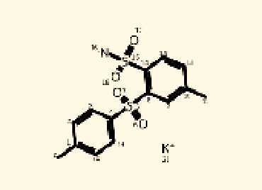 Cc1ccc(S(=O)(=O)c2cc(C)ccc2S([N-])(=O)=O)cc1.[K+]